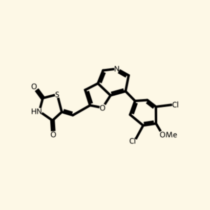 COc1c(Cl)cc(-c2cncc3cc(/C=C4\SC(=O)NC4=O)oc23)cc1Cl